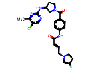 COc1nc(NC2CCN(C(=O)c3ccc(NC(=O)/C=C/CN4CCC(F)C4)cc3)C2)ncc1Cl